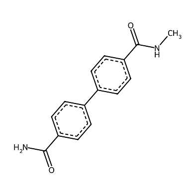 CNC(=O)c1ccc(-c2ccc(C(N)=O)cc2)cc1